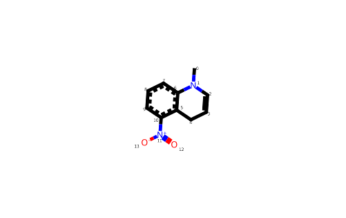 CN1C=CCc2c1cccc2[N+](=O)[O-]